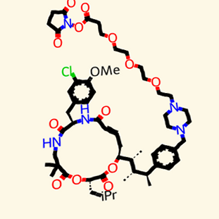 COc1ccc(C[C@H]2NC(=O)/C=C/C[C@@H]([C@H](C)[C@@H](C)[C@H](C)c3ccc(CN4CCN(CCOCCOCCOCCC(=O)ON5C(=O)CCC5=O)CC4)cc3)OC(=O)[C@H](CC(C)C)OC(=O)C(C)(C)CNC2=O)cc1Cl